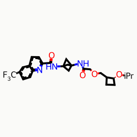 CC(C)O[C@@H]1CCC1COCC(=O)NC12CC(NC(=O)c3ccc4cc(C(F)(F)F)ccc4n3)(C1)C2